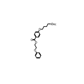 CCCCCCCCCCCCCCOc1ccc(C(=O)OCCOc2ccccc2)cc1